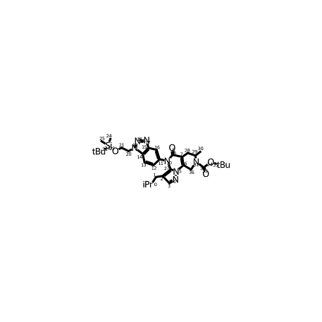 CC(C)Cc1cnn2c3c(c(=O)n(-c4ccc5c(c4)nnn5CCO[Si](C)(C)C(C)(C)C)c12)CC(C)N(C(=O)OC(C)(C)C)C3